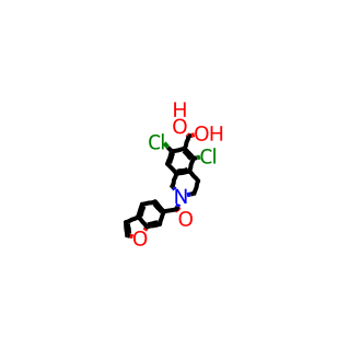 O=C(c1ccc2ccoc2c1)N1CCc2c(cc(Cl)c(C(O)O)c2Cl)C1